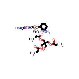 C=CC(=O)OCC(CO)(COC(=O)C=C)COC(=O)C=C.CCOC(N)=O.Cc1ccccc1.N=C=O.N=C=O